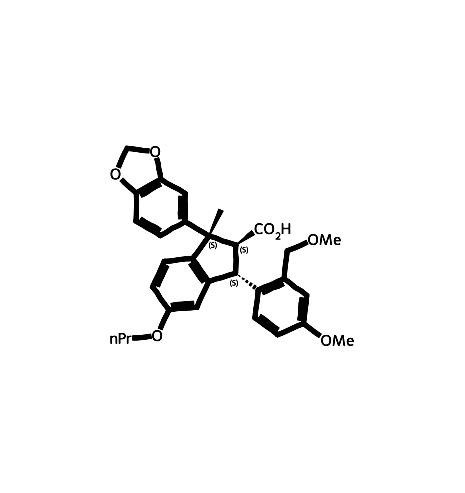 CCCOc1ccc2c(c1)[C@@H](c1ccc(OC)cc1COC)[C@H](C(=O)O)[C@@]2(C)c1ccc2c(c1)OCO2